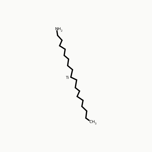 CCCCCCCCCCCCCCCCCCN.[Ti]